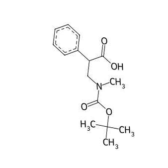 CN(CC(C(=O)O)c1ccccc1)C(=O)OC(C)(C)C